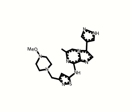 CON1CCN(Cc2cc(Nc3nc(C)cn4c(-c5cn[nH]c5)cnc34)sn2)CC1